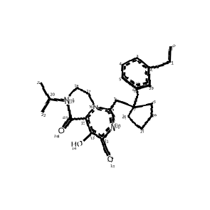 CCc1cccc(C2(Cc3nc(=O)c(O)c4n3CCN(C(C)C)C4=O)CCCC2)c1